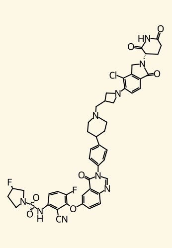 N#Cc1c(NS(=O)(=O)N2CC[C@@H](F)C2)ccc(F)c1Oc1ccc2ncn(-c3ccc(C4CCN(CC5CN(c6ccc7c(c6Cl)CN([C@H]6CCC(=O)NC6=O)C7=O)C5)CC4)cc3)c(=O)c2c1